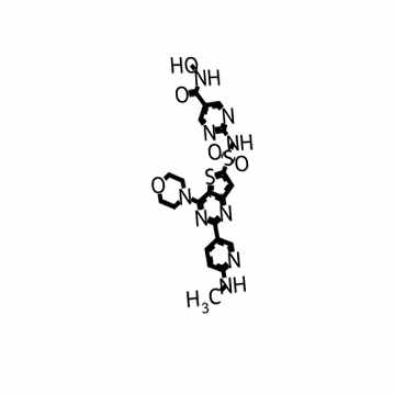 CNc1ccc(-c2nc(N3CCOCC3)c3sc(S(=O)(=O)Nc4ncc(C(=O)NO)cn4)cc3n2)cn1